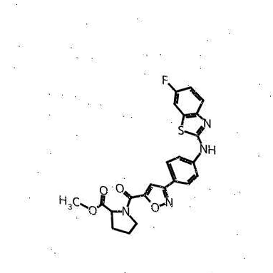 COC(=O)C1CCCN1C(=O)c1cc(-c2ccc(Nc3nc4ccc(F)cc4s3)cc2)no1